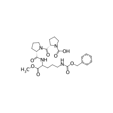 COC(=O)C(CCCNC(=O)OCc1ccccc1)NC(=O)[C@@H]1CCCN1C(=O)[C@@H]1CCCN1C(=O)O